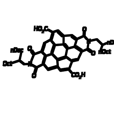 CCCCCCCCCCC(CCCCCCCC)Cn1c(=O)c2cc3cc(C(=O)O)c4cc5c(=O)n(CC(CCCCCCCC)CCCCCCCCCC)c(=O)c6cc7cc(C(=O)O)c8cc(c1=O)c2c1c3c4c(c65)c7c81